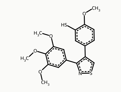 COc1ccc(-c2csnc2-c2cc(OC)c(OC)c(OC)c2)cc1S